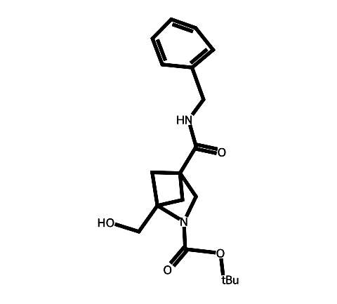 CC(C)(C)OC(=O)N1CC2(C(=O)NCc3ccccc3)CC1(CO)C2